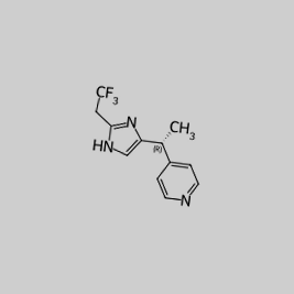 C[C@H](c1ccncc1)c1c[nH]c(CC(F)(F)F)n1